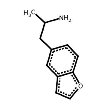 CC(N)Cc1ccc2occc2c1